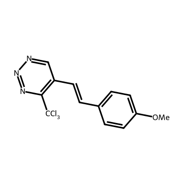 COc1ccc(C=Cc2cnnnc2C(Cl)(Cl)Cl)cc1